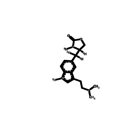 [2H]N1C(=O)OC[C@]1([2H])C([2H])([2H])c1ccc2c(c1)c(CCN(C)C)cn2[2H]